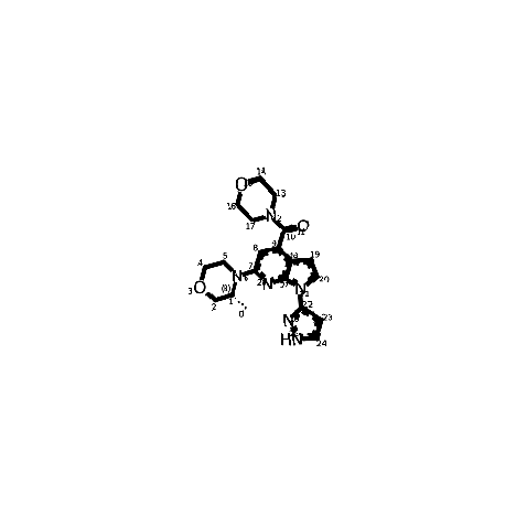 C[C@@H]1COCCN1c1cc(C(=O)N2CCOCC2)c2ccn(-c3cc[nH]n3)c2n1